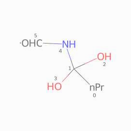 CCCC(O)(O)N[C]=O